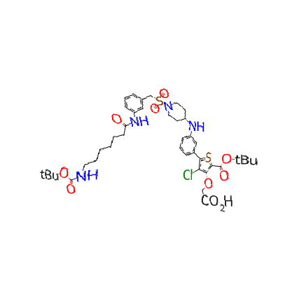 CC(C)(C)OC(=O)NCCCCCCC(=O)Nc1cccc(CS(=O)(=O)N2CCC(Nc3cccc(-c4sc(C(=O)OC(C)(C)C)c(OCC(=O)O)c4Cl)c3)CC2)c1